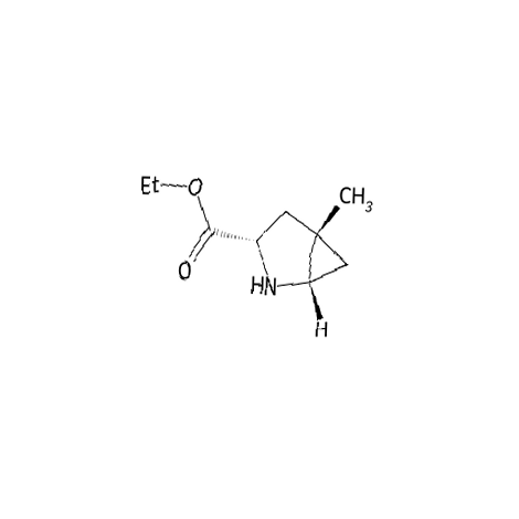 CCOC(=O)[C@@H]1C[C@]2(C)C[C@@H]2N1